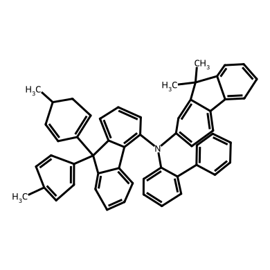 Cc1ccc(C2(C3=CCC(C)C=C3)c3ccccc3-c3c(N(c4ccc5c(c4)C(C)(C)c4ccccc4-5)c4ccccc4-c4ccccc4)cccc32)cc1